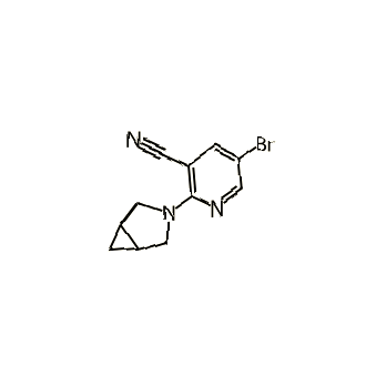 N#Cc1cc(Br)cnc1N1CC2CC2C1